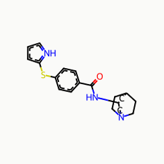 O=C(NC1CC2CCN(CC2)C1)c1ccc(Sc2ccc[nH]2)cc1